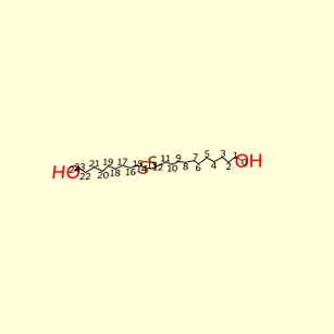 OCCCCCCCCCCCCSSCCCCCCCCCO